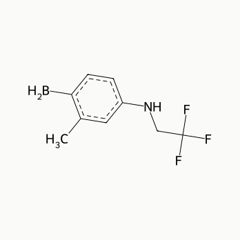 Bc1ccc(NCC(F)(F)F)cc1C